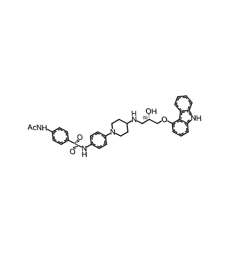 CC(=O)Nc1ccc(S(=O)(=O)Nc2ccc(N3CCC(NC[C@H](O)COc4cccc5[nH]c6ccccc6c45)CC3)cc2)cc1